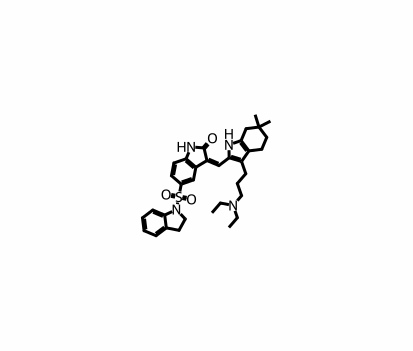 CCN(CC)CCCc1c(/C=C2\C(=O)Nc3ccc(S(=O)(=O)N4CCc5ccccc54)cc32)[nH]c2c1CCC(C)(C)C2